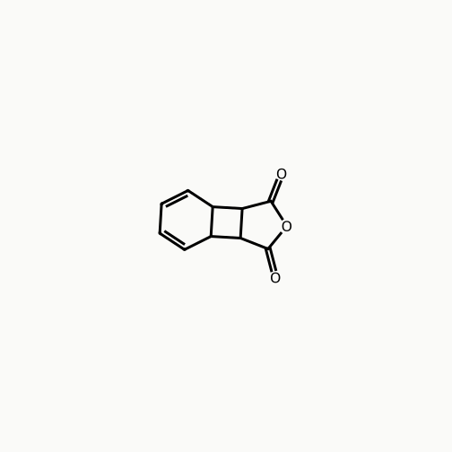 O=C1OC(=O)C2C3C=CC=CC3C12